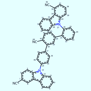 N#Cc1ccc2c(c1)c1ccccc1n2-c1ccc(-c2cc(-c3ccccc3-n3c4ccccc4c4c(C#N)cccc43)ccc2C#N)cc1